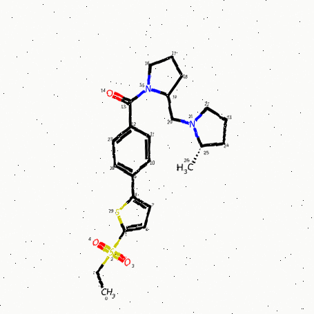 CCS(=O)(=O)c1ccc(-c2ccc(C(=O)N3CCCC3CN3CCC[C@@H]3C)cc2)s1